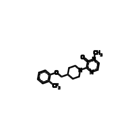 Cn1ccnc(N2CCC(COc3ccccc3C(F)(F)F)CC2)c1=O